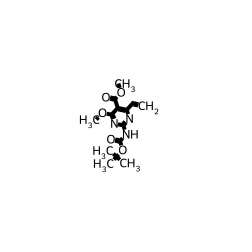 C=Cc1nc(NC(=O)OC(C)(C)C)nc(OC)c1C(=O)OC